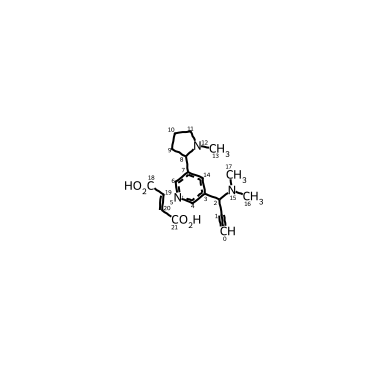 C#CC(c1cncc(C2CCCN2C)c1)N(C)C.O=C(O)C=CC(=O)O